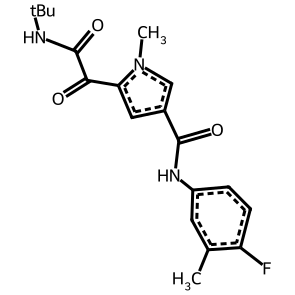 Cc1cc(NC(=O)c2cc(C(=O)C(=O)NC(C)(C)C)n(C)c2)ccc1F